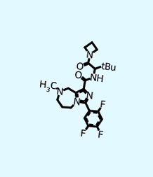 CN1CCCn2c(-c3cc(F)c(F)cc3F)nc(C(=O)NC(C(=O)N3CCC3)C(C)(C)C)c2C1